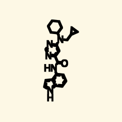 O=C(Nc1cccc2[nH]ccc12)c1cc(N(CC2CC2)C2CCCCC2)ncn1